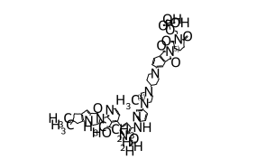 [2H]C([2H])([2H])Oc1ncc(-c2ccnc(N3CCn4c(cc5c4CC(C)(C)C5)C3=O)c2C(C)(C)O)cc1Nc1ccc(N2CCN(C3CCN(c4ccc5c(c4)C(=O)N([C@H]4CCC(=O)N(COP(=O)(O)O)C4=O)C5=O)CC3)C[C@@H]2C)cn1